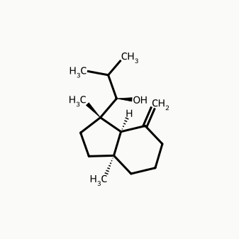 C=C1CCC[C@@]2(C)CC[C@](C)([C@H](O)C(C)C)[C@@H]12